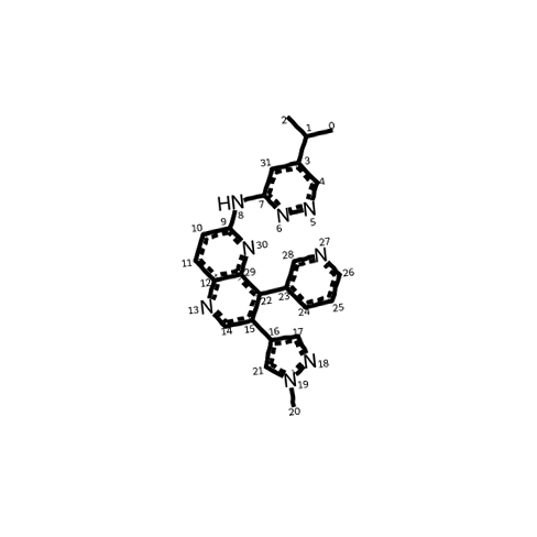 CC(C)c1cnnc(Nc2ccc3ncc(-c4cnn(C)c4)c(-c4cccnc4)c3n2)c1